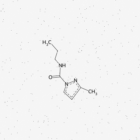 CCCNC(=O)n1ccc(C)n1